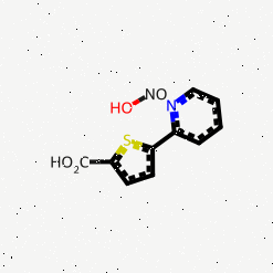 O=C(O)c1ccc(-c2ccccn2)s1.O=NO